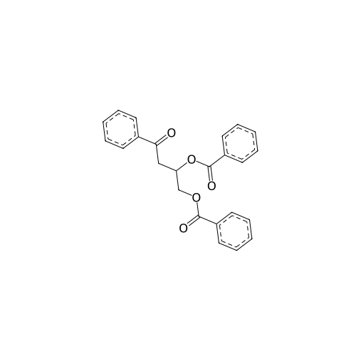 O=C(CC(COC(=O)c1ccccc1)OC(=O)c1ccccc1)c1ccccc1